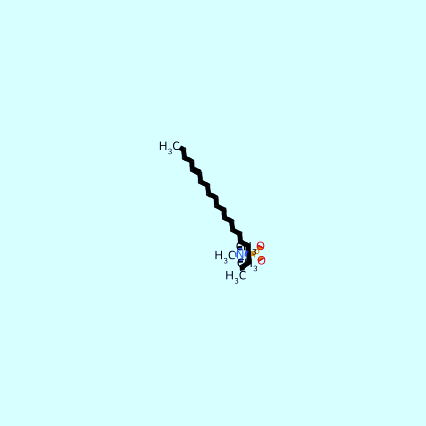 CCCCC=CCCCCCCCCCCCCC(CCC)(P(=O)=O)[N+](C)(C)C